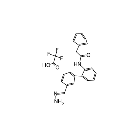 NN=Cc1cccc(-c2ccccc2NC(=O)Cc2ccccc2)c1.O=C(O)C(F)(F)F